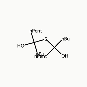 CCCCCC(O)(CCCC)SC(O)(CCCC)CCCCC